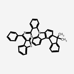 CC1(C)c2ccccc2-c2c1ccc1c2c2ccccc2n1-c1ccccc1-c1nc(-c2ccccc2)c2c(n1)sc1ccccc12